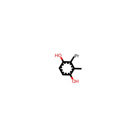 Cc1c(O)ccc(O)c1C(C)C